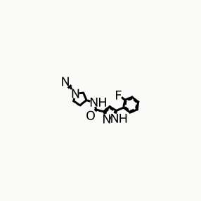 N#CN1CCC(NC(=O)c2cc(-c3ccccc3F)[nH]n2)C1